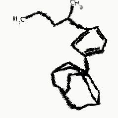 CCCC(C)c1cccc(C23CC4CC(CC(C4)C2)C3)c1